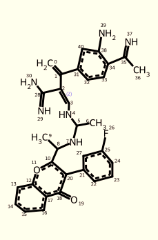 C=C(/C(=C/NC(C)NC(C)c1oc2ccccc2c(=O)c1-c1cccc(F)c1)C(=N)N)c1ccc(C(C)=N)c(N)c1